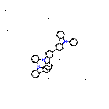 c1ccc(-n2c3ccccc3c3cc(-c4ccc5c(c4)c4ccccc4n5-c4ccccc4-n4c5ccccc5c5ccccc54)ccc32)cc1